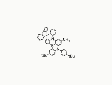 Cc1cc2c3c(c1)N1c4ccccc4C4(c5ccccc5-c5ccccc54)c4cccc(c41)B3c1cc(C(C)(C)C)ccc1N2c1ccc(C(C)(C)C)cc1